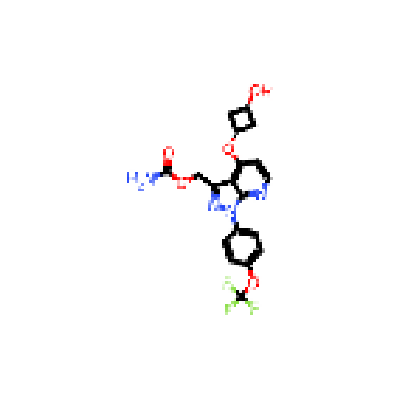 NC(=O)OCc1nn(-c2ccc(OC(F)(F)F)cc2)c2nccc(O[C@H]3C[C@H](O)C3)c12